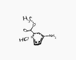 COC(=O)c1cc(N)ccn1.Cl